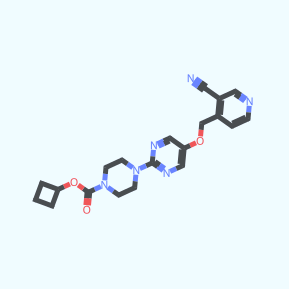 N#Cc1cnccc1COc1cnc(N2CCN(C(=O)OC3CCC3)CC2)nc1